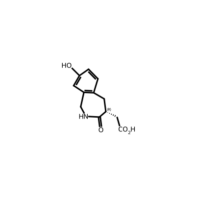 O=C(O)C[C@H]1Cc2ccc(O)cc2CNC1=O